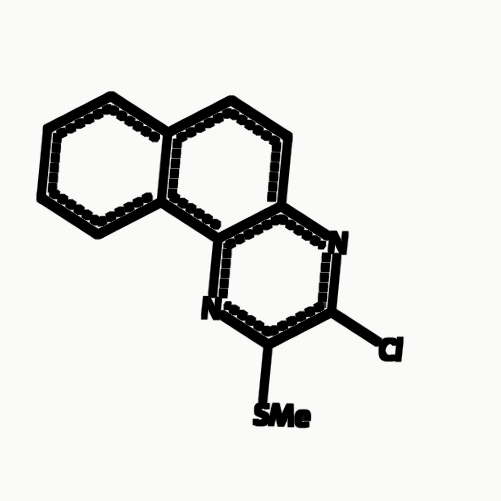 CSc1nc2c(ccc3ccccc32)nc1Cl